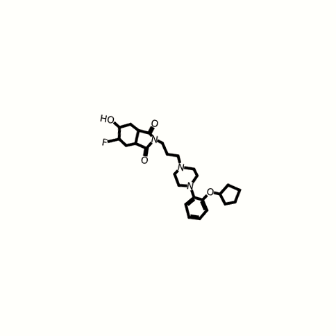 O=C1C2CC(O)C(F)CC2C(=O)N1CCCN1CCN(c2ccccc2OC2CCCC2)CC1